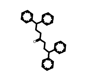 O=C(CCC(c1ccccc1)c1ccccc1)CCC(c1ccccc1)c1ccccc1